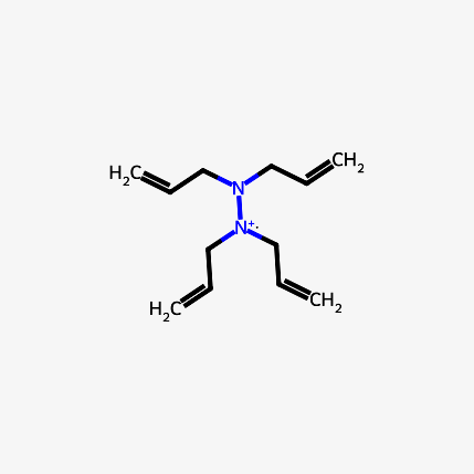 C=CCN(CC=C)[N+](CC=C)CC=C